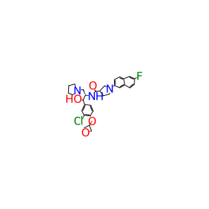 O=C(N[C@H](CN1CCCC1)[C@H](O)c1ccc(OC2COC2)c(Cl)c1)C1CCN(c2ccc3cc(F)ccc3c2)C1